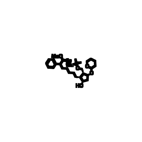 COC(=[Se])C(CCCCC[C@@H]1[C@H](CO[Si](C)(C)C(C)(C)C)[C@H](OC2CCCCO2)C[C@@H]1O)c1ccccc1